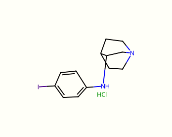 Cl.Ic1ccc(NC2CN3CCC2CC3)cc1